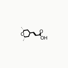 C[C@@H]1CC(/C=C/C(=O)O)C[C@H](C)O1